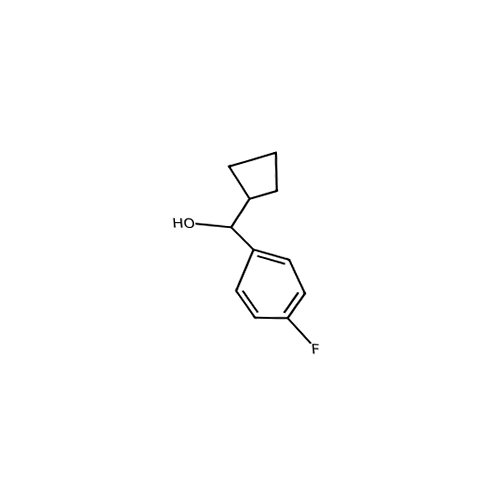 OC(c1ccc(F)cc1)C1CCC1